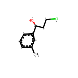 Cc1cccc([C@@H](O)CCCl)c1